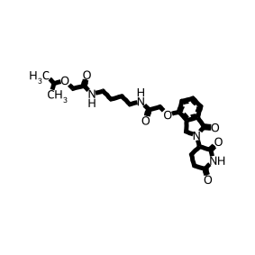 CC(C)OCC(=O)NCCCCNC(=O)COc1cccc2c1CN(C1CCC(=O)NC1=O)C2=O